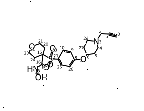 C#CCN1CCC(Oc2ccc(S(=O)(=O)C3(C(=O)NO)CCOCC3)cc2)CC1